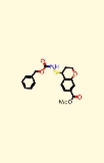 COC(=O)c1ccc2c(c1)OCCC2SNC(=O)OCc1ccccc1